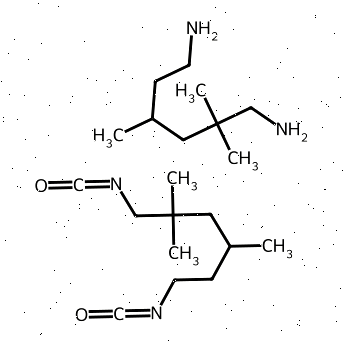 CC(CCN)CC(C)(C)CN.CC(CCN=C=O)CC(C)(C)CN=C=O